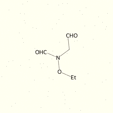 CCON(C=O)CC=O